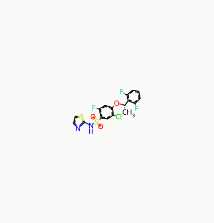 C[C@H](Oc1cc(F)c(S(=O)(=O)Nc2nccs2)cc1Cl)c1c(F)cccc1F